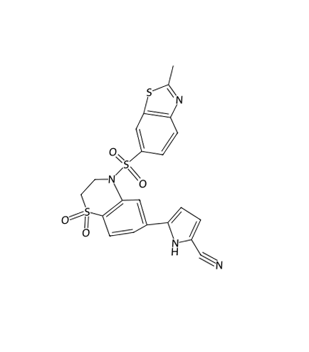 Cc1nc2ccc(S(=O)(=O)N3CCS(=O)(=O)c4ccc(-c5ccc(C#N)[nH]5)cc43)cc2s1